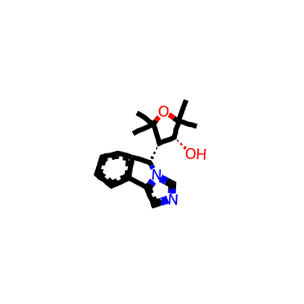 CC1(C)OC(C)(C)[C@@H](C2c3ccccc3-c3cncn32)[C@H]1O